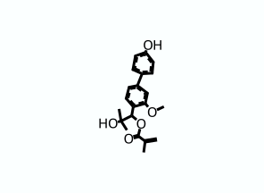 C=C(C)C(=O)OC(c1ccc(-c2ccc(O)cc2)cc1OC)C(C)(C)O